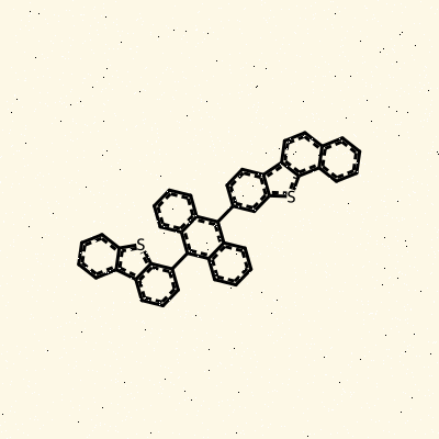 c1ccc2c(c1)ccc1c3ccc(-c4c5ccccc5c(-c5cccc6c5sc5ccccc56)c5ccccc45)cc3sc21